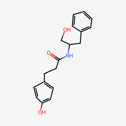 O=C(CCc1ccc(O)cc1)NC(CO)Cc1ccccc1